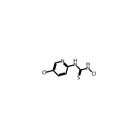 S=C(NCl)Nc1ccc(Cl)cn1